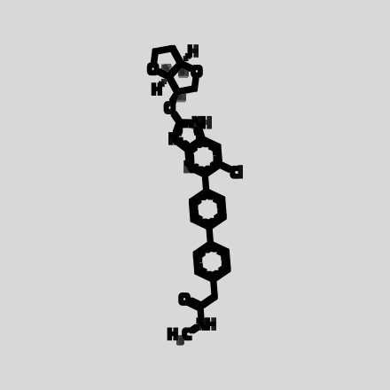 CNC(=O)Cc1ccc(-c2ccc(-c3nc4nc(O[C@@H]5CO[C@@H]6CCO[C@@H]65)[nH]c4cc3Cl)cc2)cc1